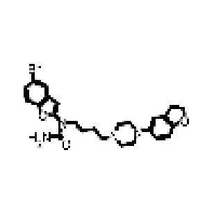 NC(=O)N(CCCCN1CCN(c2ccc3c(c2)CCO3)CC1)c1cc2cc(Br)ccc2o1